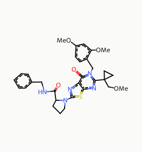 COCC1(c2nc3sc(N4CCCC4C(=O)NCc4ccccc4)nc3c(=O)n2Cc2ccc(OC)cc2OC)CC1